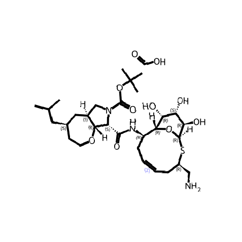 CC(C)C[C@@H]1CCO[C@@H]2[C@@H](C1)CN(C(=O)OC(C)(C)C)[C@@H]2C(=O)N[C@@H]1C/C=C\C[C@H](CN)S[C@H]2O[C@H]1[C@H](O)[C@H](O)[C@H]2O.O=CO